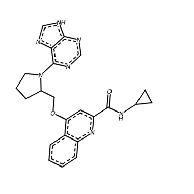 O=C(NC1CC1)c1cc(OCC2CCCN2c2ncnc3[nH]cnc23)c2ccccc2n1